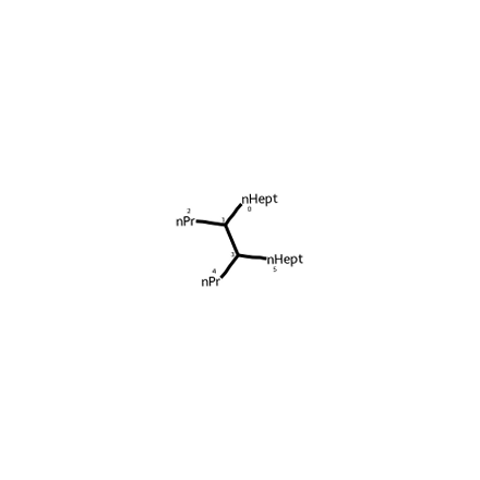 CCCCCCCC(CCC)C(CCC)CCCCCCC